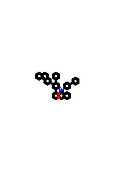 c1ccc(-c2ccc(N(c3cc(-c4ccccc4)c(-c4ccc5c(ccc6ccccc65)c4)cc3-c3ccccc3)c3cccc4ccccc34)cc2)cc1